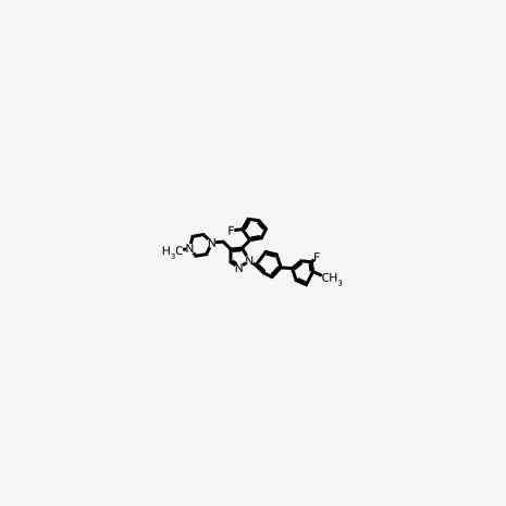 Cc1ccc(-c2ccc(-n3ncc(CN4CCN(C)CC4)c3-c3ccccc3F)cc2)cc1F